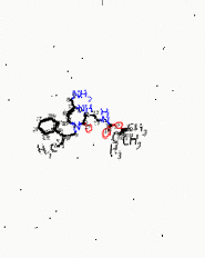 CC[C@H](CN1CC=C(CN)N[C@@H](CCNC(=O)OC(C)(C)C)C1=O)c1ccccc1